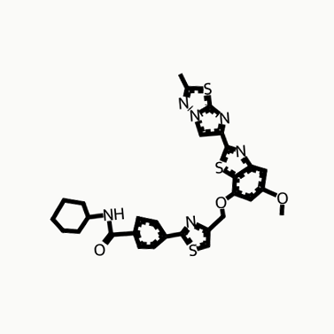 COc1cc(OCc2csc(-c3ccc(C(=O)NC4CCCCC4)cc3)n2)c2sc(-c3cn4nc(C)sc4n3)nc2c1